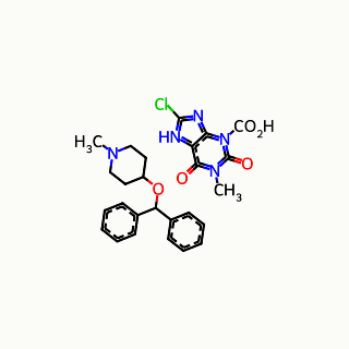 CN1CCC(OC(c2ccccc2)c2ccccc2)CC1.Cn1c(=O)c2[nH]c(Cl)nc2n(C(=O)O)c1=O